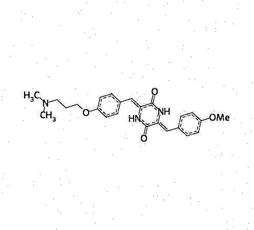 COc1ccc(/C=c2\[nH]c(=O)/c(=C/c3ccc(OCCCN(C)C)cc3)[nH]c2=O)cc1